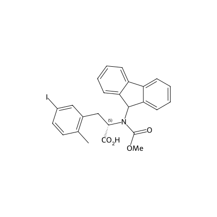 COC(=O)N(C1c2ccccc2-c2ccccc21)[C@@H](Cc1cc(I)ccc1C)C(=O)O